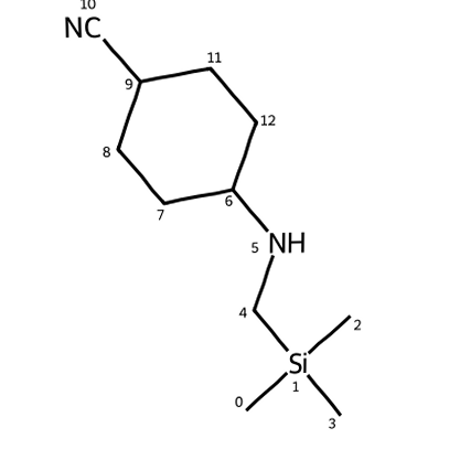 C[Si](C)(C)CNC1CCC(C#N)CC1